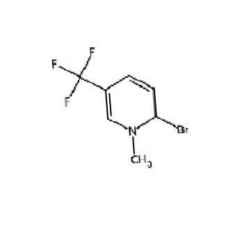 CN1C=C(C(F)(F)F)C=CC1Br